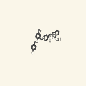 O=C(O)N1CCCC1CNCC1(O)CCN(Cc2cc(Br)ccc2OCc2ccc(Cl)cc2)CC1